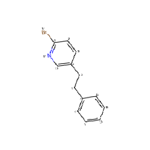 Brc1ccc(CCc2ccccc2)cn1